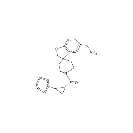 NCc1ccc2c(c1)C1(CCN(C(=O)C3CC3c3ccccc3)CC1)CO2